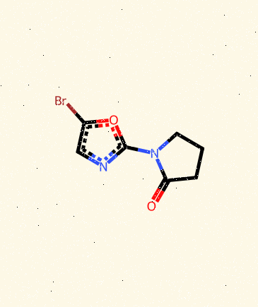 O=C1CCCN1c1ncc(Br)o1